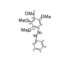 COc1cc(N=Nc2ccccc2)c(OC)c(OC)c1OC